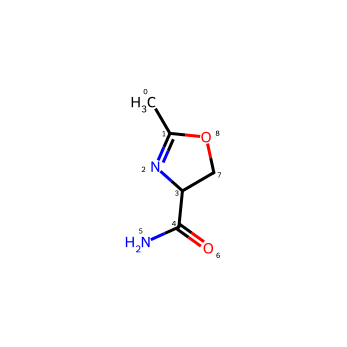 CC1=NC(C(N)=O)CO1